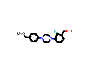 COCc1ccc(N2CCN(c3cccc(CO)c3F)CC2)cc1